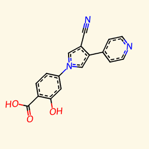 N#Cc1cn(-c2ccc(C(=O)O)c(O)c2)cc1-c1ccncc1